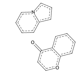 O=c1ccoc2ccccc12.c1ccn2cccc2c1